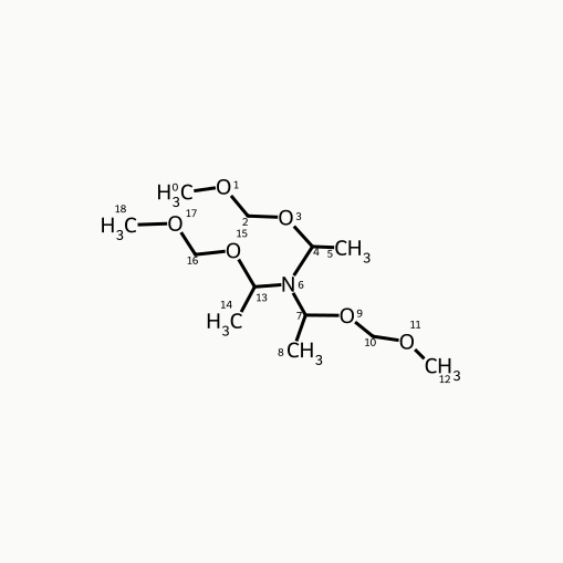 COCOC(C)N(C(C)OCOC)C(C)OCOC